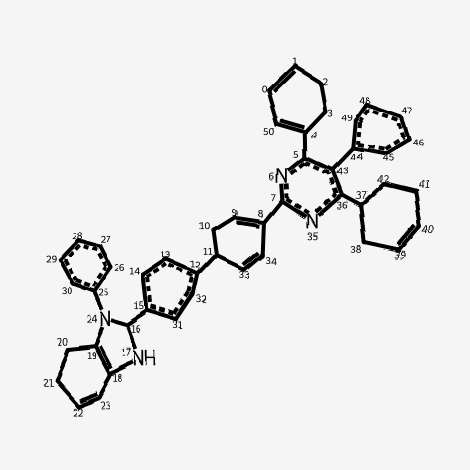 C1=CCCC(c2nc(C3=CCC(c4ccc(C5NC6=C(CCC=C6)N5c5ccccc5)cc4)C=C3)nc(C3CC=CCC3)c2-c2ccccc2)=C1